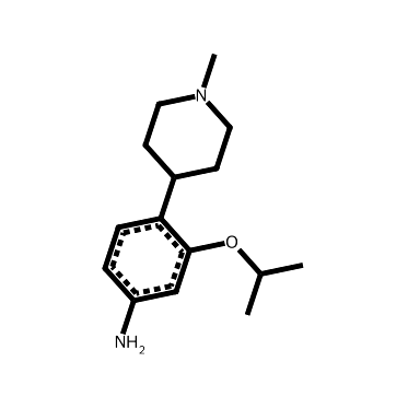 CC(C)Oc1cc(N)ccc1C1CCN(C)CC1